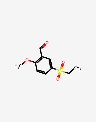 CCS(=O)(=O)c1ccc(OC)c([C]=O)c1